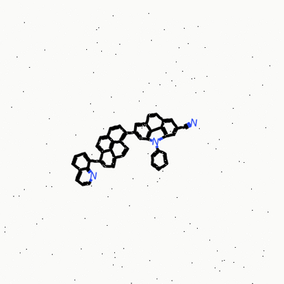 N#Cc1cc2ccc3cc(-c4ccc5ccc6c(-c7cccc8cccnc78)ccc7ccc4c5c76)cc4c3c2c(c1)n4-c1ccccc1